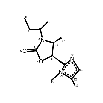 CCC(C)N1C(=O)O[C@H](c2ncc(C)n2C)[C@@H]1C